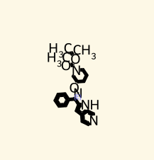 CC(C)(C)OC(=O)N1CCCC(O/N=C(\c2ccccc2)c2cc3ccncc3[nH]2)C1